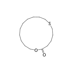 O=C1CCCCSCCCCCCCCCCO1